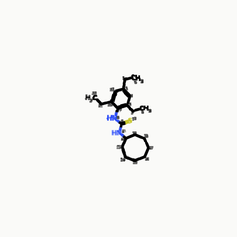 CCc1cc(CC)c(NC(=S)NC2CCCCCCC2)c(CC)c1